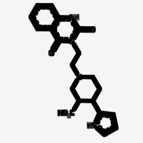 O=C(O)C1CN(CCn2c(=O)[nH]c3ccccc3c2=O)CCC1c1ccc[nH]1